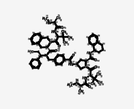 CC[C@H](c1ccccc1)N(Cc1ccc(C(=O)N[C@H]2C[C@@H](C(=O)N[C@@H]3CCCc4ccccc43)N(C(=O)[C@@H](NC(=O)[C@H](C)NC)C(C)(C)C)C2)cc1)C(=O)[C@@H]1Cc2ccccc2CN1C(=O)C(NC(=O)[C@H](C)NC)C(C)(C)C